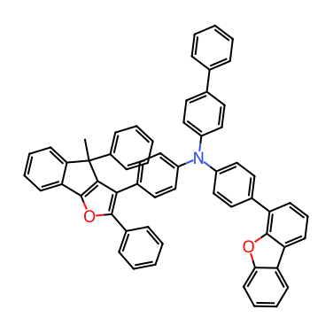 CC1(c2ccccc2)c2ccccc2-c2oc(-c3ccccc3)c(-c3ccc(N(c4ccc(-c5ccccc5)cc4)c4ccc(-c5cccc6c5oc5ccccc56)cc4)cc3)c21